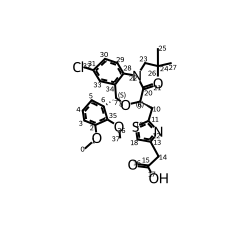 COc1cccc([C@H]2O[C@H](Cc3nc(CC(=O)O)cs3)C(=O)N(CC(C)(C)C)c3ccc(Cl)cc32)c1OC